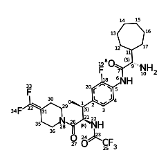 C[C@@H](c1ccc(NC(=O)[C@@H](N)C2CCCCCC2)c(F)c1)[C@@H](NC(=O)C(F)(F)F)C(=O)N1CCC(=C(F)F)CC1